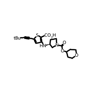 CC(C)(C)C#Cc1cc(N[C@H]2CCN(C(=O)OC3CCOCC3)C2)c(C(=O)O)s1